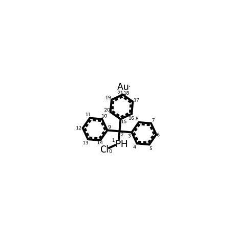 ClPC(c1ccccc1)(c1ccccc1)c1ccccc1.[Au]